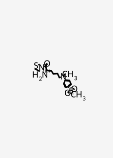 CN(CCCC[C@H](N)C(=O)N1CCSC1)c1ccc(S(C)(=O)=O)cc1